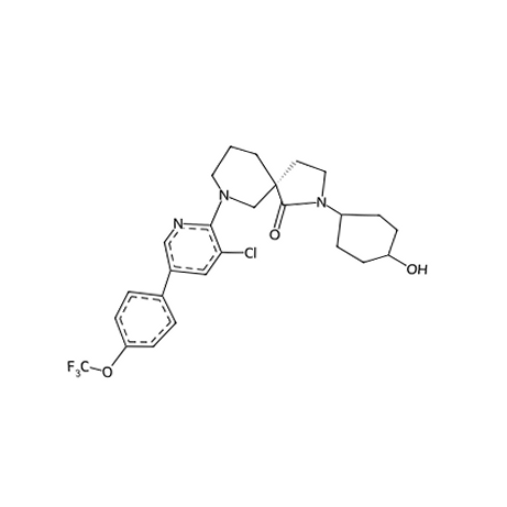 O=C1N(C2CCC(O)CC2)CC[C@]12CCCN(c1ncc(-c3ccc(OC(F)(F)F)cc3)cc1Cl)C2